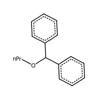 CCCOC(c1ccccc1)c1ccccc1